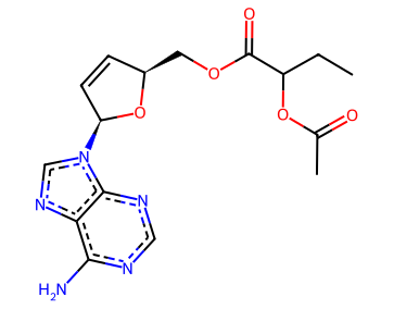 CCC(OC(C)=O)C(=O)OC[C@@H]1C=C[C@H](n2cnc3c(N)ncnc32)O1